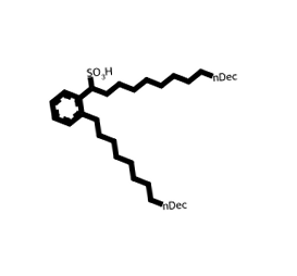 CCCCCCCCCCCCCCCCCCc1ccccc1C(CCCCCCCCCCCCCCCCCC)S(=O)(=O)O